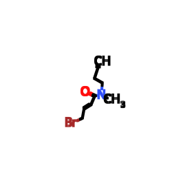 C#CCCN(C)C(=O)C=CCBr